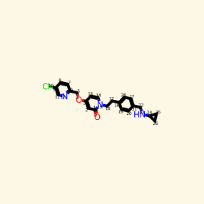 O=c1cc(OCc2ccc(Cl)cn2)ccn1CCc1ccc(CNC2CC2)cc1